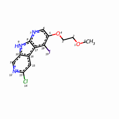 COCCOc1cnc2[nH]c3cnc(Cl)cc3c2c1I